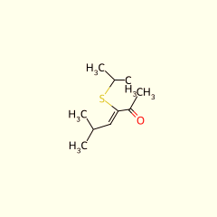 CC(=O)/C(=C/C(C)C)SC(C)C